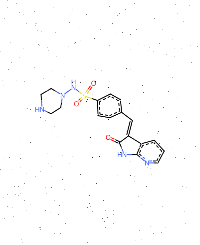 O=C1Nc2ncccc2C1=Cc1ccc(S(=O)(=O)NN2CCNCC2)cc1